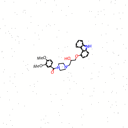 COc1ccc(C(=O)N2CCN(CC(O)COc3cccc4[nH]c5ccccc5c34)CC2)cc1OC